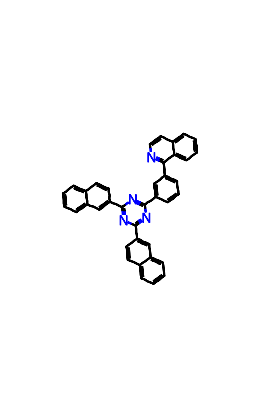 c1cc(-c2nc(-c3ccc4ccccc4c3)nc(-c3ccc4ccccc4c3)n2)cc(-c2nccc3ccccc23)c1